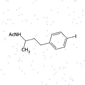 CC(=O)NC(C)CCc1ccc(I)cc1